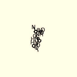 CCCOc1ccccc1C(=O)Nc1cccc2cc(C(=O)Nc3ccc(C#N)cc3-c3noc(=O)[nH]3)[nH]c12